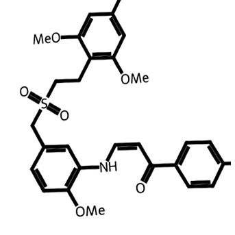 COc1cc(OC)c(CCS(=O)(=O)Cc2ccc(OC)c(N/C=C\C(=O)c3ccc(F)cc3)c2)c(OC)c1